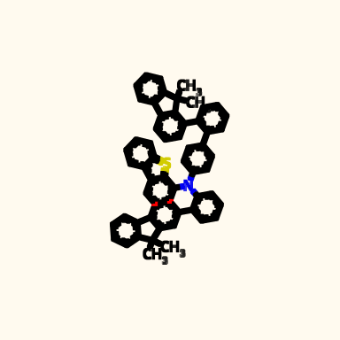 CC1(C)c2ccccc2-c2ccc(-c3ccccc3N(c3ccc(-c4ccccc4-c4cccc5c4C(C)(C)c4ccccc4-5)cc3)c3cccc4c3sc3ccccc34)cc21